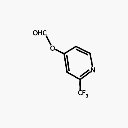 O=COc1ccnc(C(F)(F)F)c1